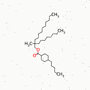 CCCCCCCCCCC(C)(CCCCCCCC)COC(=O)C1CCC(CCCCC)CC1